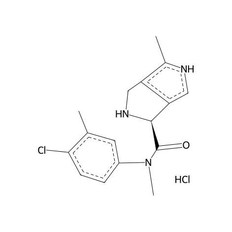 Cc1cc(N(C)C(=O)[C@H]2NCc3c2c[nH]c3C)ccc1Cl.Cl